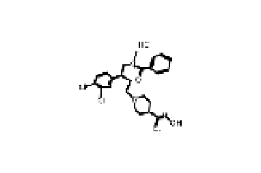 CCC(=NO)C1CCN(CCC(CN(C)C(=O)c2ccccc2)c2ccc(Cl)c(Cl)c2)CC1.Cl